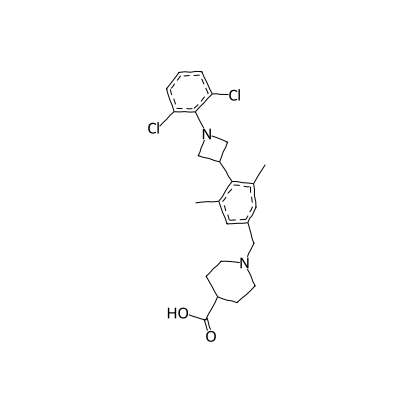 Cc1cc(CN2CCC(C(=O)O)CC2)cc(C)c1C1CN(c2c(Cl)cccc2Cl)C1